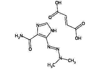 CN(C)N=Nc1[nH]cnc1C(N)=O.O=C(O)/C=C/C(=O)O